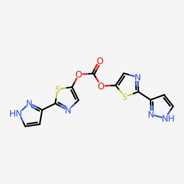 O=C(Oc1cnc(-c2cc[nH]n2)s1)Oc1cnc(-c2cc[nH]n2)s1